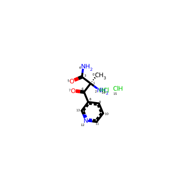 C[C@@](N)(C(N)=O)C(=O)c1cccnc1.Cl.Cl